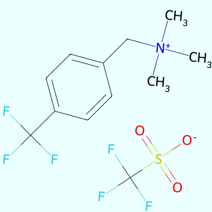 C[N+](C)(C)Cc1ccc(C(F)(F)F)cc1.O=S(=O)([O-])C(F)(F)F